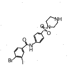 O=C(Nc1ccc(S(=O)(=O)N2CCNCC2)cc1)c1ccc(Br)c(I)c1